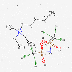 CCCCC[N+](C)(CC)CC.O=S(=O)([N-]S(=O)(=O)C(F)(F)F)C(F)(F)F